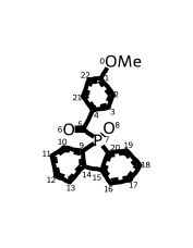 COc1ccc(C(=O)P2(=O)c3ccccc3-c3ccccc32)cc1